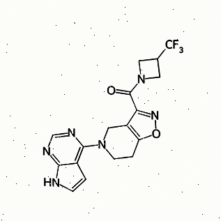 O=C(c1noc2c1CN(c1ncnc3[nH]ccc13)CC2)N1CC(C(F)(F)F)C1